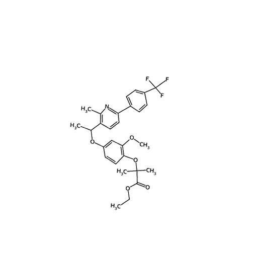 CCOC(=O)C(C)(C)Oc1ccc(OC(C)c2ccc(-c3ccc(C(F)(F)F)cc3)nc2C)cc1OC